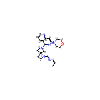 C/C=C\N=C\N1CCC12CCN(c1nc(N3CCOCC3)cc3ncccc13)C2